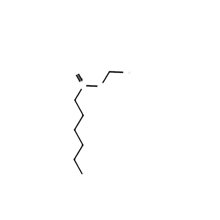 CCCCCC[PH](=O)OCO